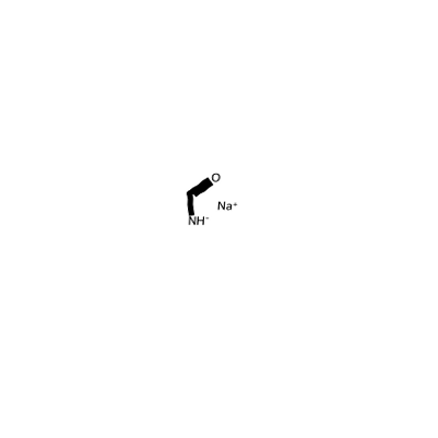 [NH-]C=O.[Na+]